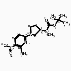 CN(C(=O)OC(C)(C)C)[C@@H]1CCN(c2ccc([N+](=O)[O-])c(N)n2)C1